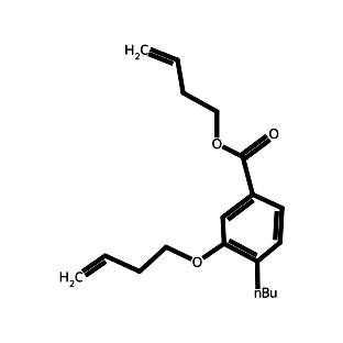 C=CCCOC(=O)c1ccc(CCCC)c(OCCC=C)c1